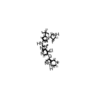 Cn1c(Nc2cc(C(C)(C)C)n([C@@H]3CNC[C@H]3F)n2)nc2ncc(O/C(C=N)=C3\C=NC=CN3)c(Cl)c21